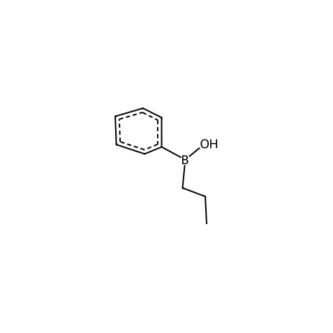 CCCB(O)c1ccccc1